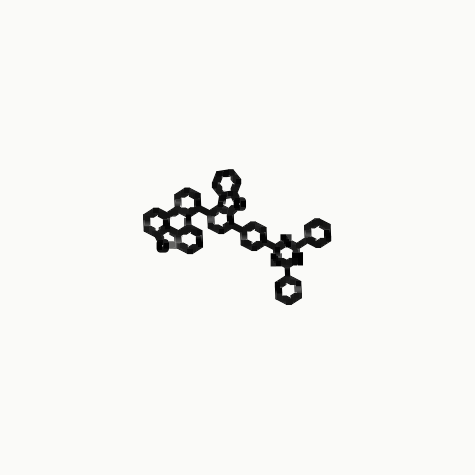 c1ccc(-c2nc(-c3ccccc3)nc(-c3ccc(-c4ccc(-c5cccc6c7cccc8oc9cccc(c56)c9c87)c5c4oc4ccccc45)cc3)n2)cc1